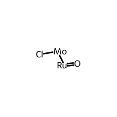 [O]=[Ru][Mo][Cl]